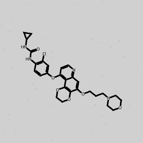 O=C(Nc1ccc(Oc2ccnc3cc(OCCCN4CCOCC4)c4c(c23)OCCO4)cc1Cl)NC1CC1